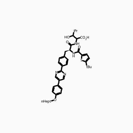 CCCCCCCOc1ccc(-c2cnc(-c3ccc(C[C@H](NC(=O)c4ccc(C(C)(C)C)s4)C(=O)NC(C(=O)O)C(O)C(C)C)cc3)nc2)cc1